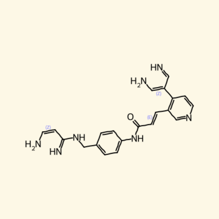 N=C/C(=C\N)c1ccncc1/C=C/C(=O)Nc1ccc(CNC(=N)/C=C\N)cc1